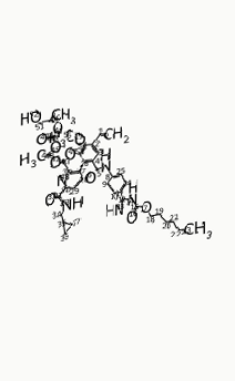 C=Cc1cc(C(=O)Nc2ccc(C(=N)NC(=O)OCCCCCC)cc2)c(-c2ccc(C(=O)NCC3CC3)nc2C(=O)OC(C)OC(=O)OC(C)CO)cc1OC